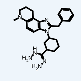 CN1CCCc2c1ccc1c2nc(Cc2ccccc2)n1C1CCCC(/C(=N/N)NN)C1